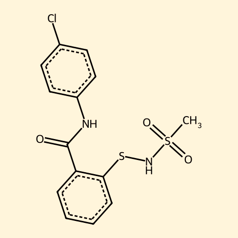 CS(=O)(=O)NSc1ccccc1C(=O)Nc1ccc(Cl)cc1